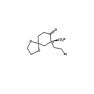 CC(=O)CC[C@]1(C(=O)O)CC2(CCC1=O)OCCO2